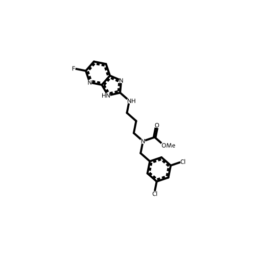 COC(=O)N(CCCNc1nc2ccc(F)nc2[nH]1)Cc1cc(Cl)cc(Cl)c1